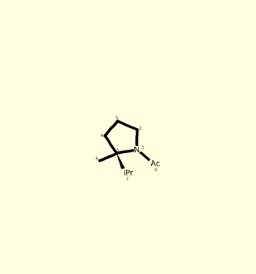 CC(=O)N1CCC[C@]1(C)C(C)C